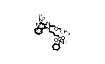 CCOCc1nc2c(N)nc3ccccc3c2n1CCCCS(=O)(=O)NC1CCCCC1